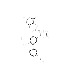 COc1cccc(-c2cc([C@H](CC(=O)O)NC(=O)Nc3c([O-])cc(C)n(C)c3=O)ccc2C)c1.[Na+]